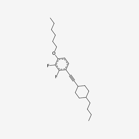 CCCCCCOc1ccc(C#CC2CCC(CCCC)CC2)c(F)c1F